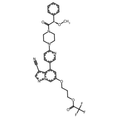 CO[C@@H](C(=O)N1CCN(c2ccc(-c3cc(OCCCOC(=O)C(F)(F)F)cn4ncc(C#N)c34)cn2)CC1)c1ccccc1